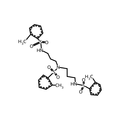 Cc1ccccc1S(=O)(=O)NCCCN(CCCNS(=O)(=O)c1ccccc1C)S(=O)(=O)c1ccccc1C